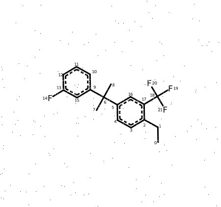 CCc1ccc(C(C)(C)c2cccc(F)c2)cc1C(F)(F)F